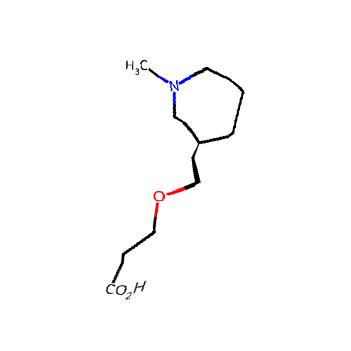 CN1CCC[C@@H](COCCC(=O)O)C1